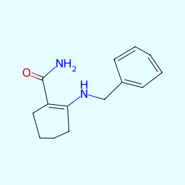 NC(=O)C1=C(NCc2ccccc2)CCCC1